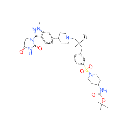 Cn1nc(N2CCC(=O)NC2=O)c2ccc(C3CCN(CC(C)(C)Cc4cccc(S(=O)(=O)N5CCC(NC(=O)OC(C)(C)C)CC5)c4)CC3)cc21.[Ti]